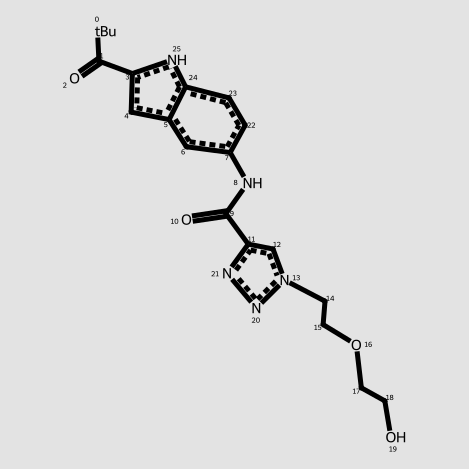 CC(C)(C)C(=O)c1cc2cc(NC(=O)c3cn(CCOCCO)nn3)ccc2[nH]1